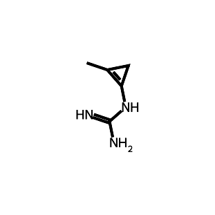 CC1=C(NC(=N)N)C1